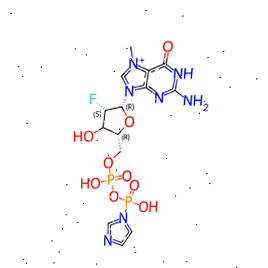 C[n+]1cn([C@@H]2O[C@H](COP(=O)(O)OP(=O)(O)n3ccnc3)C(O)[C@@H]2F)c2nc(N)[nH]c(=O)c21